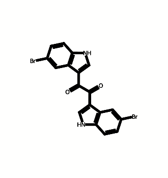 O=C(C(=O)c1c[nH]c2ccc(Br)cc12)c1c[nH]c2ccc(Br)cc12